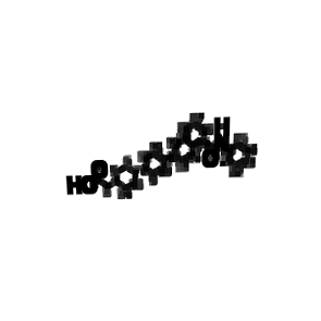 O=C(O)C[C@H]1CC[C@H](c2ccc(-c3ccc4c(C(=O)Nc5ccccc5)cccc4c3)cc2)CC1